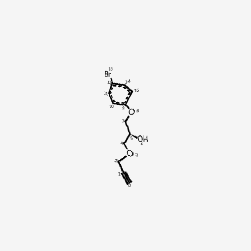 C#CCOC[C@H](O)COc1ccc(Br)cc1